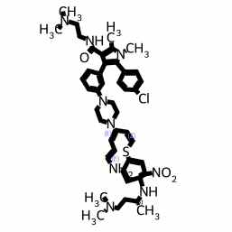 Cc1c(C(=O)NCCN(C)C)c(-c2cccc(N3CCN(C(/C=C\Sc4ccc(N[C@@H](C)CCN(C)C)c([N+](=O)[O-])c4)=C/C=C/N)CC3)c2)c(-c2ccc(Cl)cc2)n1C